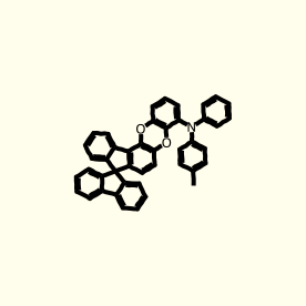 Cc1ccc(N(c2ccccc2)c2cccc3c2Oc2ccc4c(c2O3)-c2ccccc2C42c3ccccc3-c3ccccc32)cc1